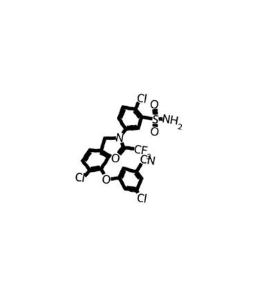 N#Cc1cc(Cl)cc(Oc2cc(CN(C(=O)C(F)(F)F)c3ccc(Cl)c(S(N)(=O)=O)c3)ccc2Cl)c1